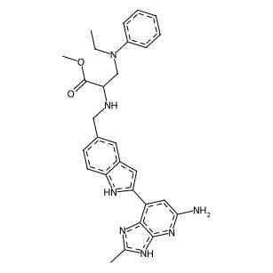 CCN(CC(NCc1ccc2[nH]c(-c3cc(N)nc4[nH]c(C)nc34)cc2c1)C(=O)OC)c1ccccc1